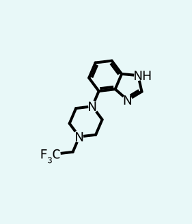 FC(F)(F)CN1CCN(c2cccc3[nH]cnc23)CC1